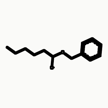 CCCCCC([O])OCc1ccccc1